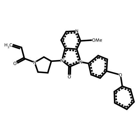 C=CC(=O)N1CCC(n2c(=O)n(-c3ccc(Oc4ccccc4)cc3)c3c(OC)nccc32)C1